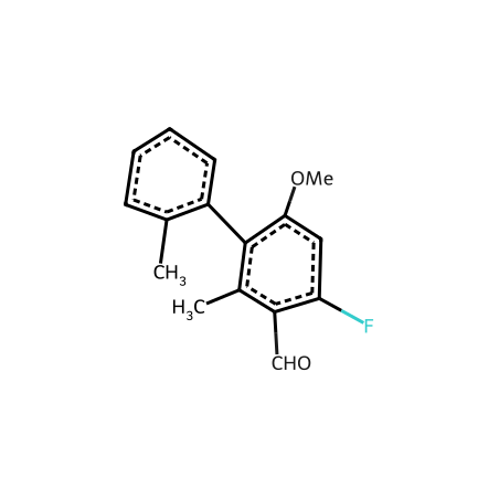 COc1cc(F)c(C=O)c(C)c1-c1ccccc1C